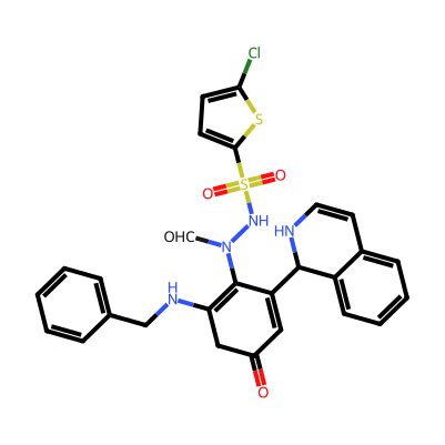 O=CN(NS(=O)(=O)c1ccc(Cl)s1)C1=C(NCc2ccccc2)CC(=O)C=C1C1NC=Cc2ccccc21